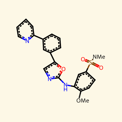 CNS(=O)(=O)c1ccc(OC)c(Nc2ncc(-c3cccc(-c4ccccn4)c3)o2)c1